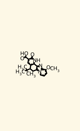 COc1cccn2c3c(nc12)-c1[nH]c(=O)c(C(=O)O)cc1C(C(C)(C)C)C3